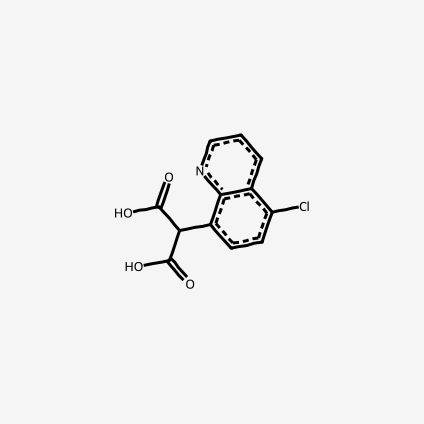 O=C(O)C(C(=O)O)c1ccc(Cl)c2cccnc12